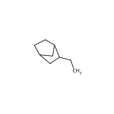 CCC1CC2[CH]CC1C2